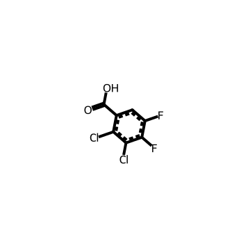 O=C(O)c1cc(F)c(F)c(Cl)c1Cl